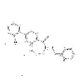 O=C1c2ccc(-c3ccccc3O)cc2OCCN1CCc1ccccc1